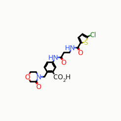 O=C(CCNC(=O)c1ccc(Cl)s1)Nc1ccc(CN2CCOCC2=O)c(C(=O)O)c1